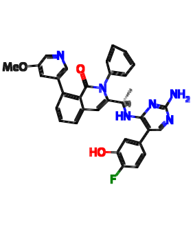 COc1cncc(-c2cccc3cc([C@H](C)Nc4nc(N)ncc4-c4ccc(F)c(O)c4)n(-c4ccccc4)c(=O)c23)c1